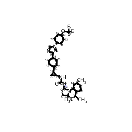 Cc1ccc(C(C)C)c(N2C(=O)CS/C2=N\C(=O)NC2CC2c2ccc(-c3ncn(-c4ccc(OC(F)(F)F)cc4)n3)cc2)c1